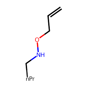 C=CCONCCCC